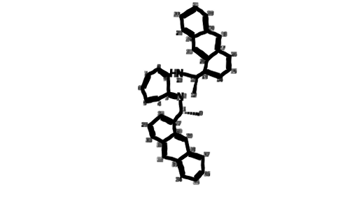 C[C@@H](N=c1cccccc1N[C@H](C)c1cccc2cc3ccccc3cc12)c1cccc2cc3ccccc3cc12